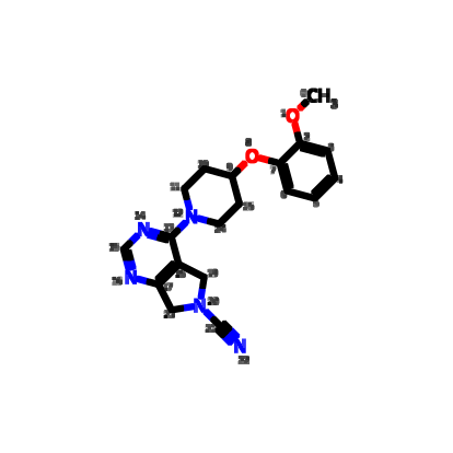 COc1ccccc1OC1CCN(c2ncnc3c2CN(C#N)C3)CC1